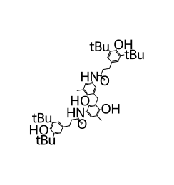 Cc1cc(NC(=O)CCc2cc(C(C)(C)C)c(O)c(C(C)(C)C)c2)cc(Cc2cc(NC(=O)CCc3cc(C(C)(C)C)c(O)c(C(C)(C)C)c3)cc(C)c2O)c1O